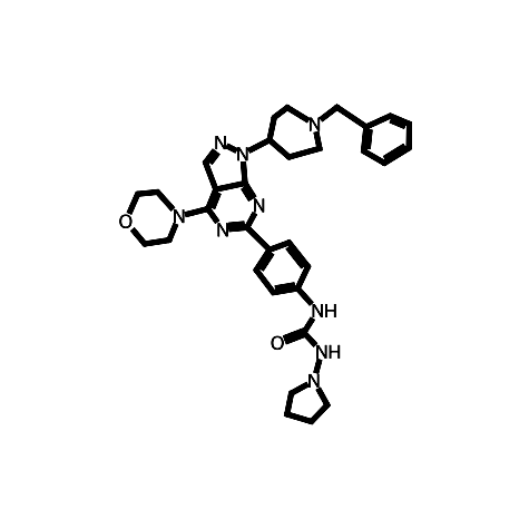 O=C(Nc1ccc(-c2nc(N3CCOCC3)c3cnn(C4CCN(Cc5ccccc5)CC4)c3n2)cc1)NN1CCCC1